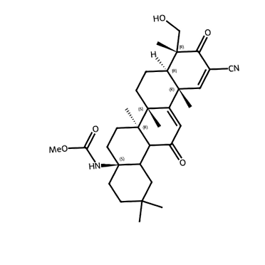 COC(=O)N[C@]12CCC(C)(C)CC1C1C(=O)C=C3[C@@]4(C)C=C(C#N)C(=O)[C@@](C)(CO)[C@@H]4CC[C@@]3(C)[C@]1(C)CC2